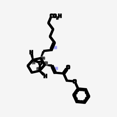 O=C(O)CCC/C=C\C[C@@H]1[C@H](/C=C/C(=O)COc2ccccc2)[C@@H]2CC[C@H]1O2